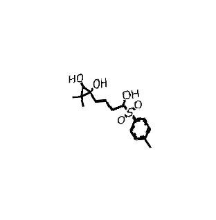 Cc1ccc(S(=O)(=O)C(O)CCCC2(O)C(O)C2(C)C)cc1